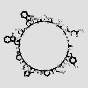 CCCC[C@H]1C(=O)N(C)[C@@H](CCCC)C(=O)N[C@@H](C)C(=O)N[C@H](C(=O)NCC(N)=O)CSCC(=O)N[C@@H](Cc2ccc(O)cc2)C(=O)N(C)[C@@H](C)C(=O)N[C@@H](CC(=O)O)C(=O)N2CCC[C@H]2C(=O)N[C@@H](Cc2cnc[nH]2)C(=O)N[C@@H](CC(C)C)C(=O)N2CCC[C@H]2C(=O)N[C@@H](Cc2c[nH]c3ccccc23)C(=O)N[C@@H](CO)C(=O)N[C@@H](Cc2c[nH]c3ccccc23)C(=O)N1C